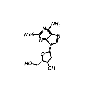 CSc1nc(N)c2ncn([C@H]3C[C@@H](O)[C@H](CO)O3)c2n1